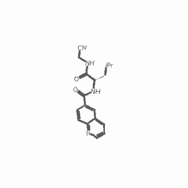 CC(C)C[C@H](NC(=O)c1ccc2ncccc2c1)C(=O)NCC#N